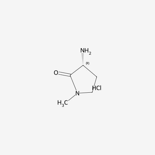 CN1CC[C@@H](N)C1=O.Cl